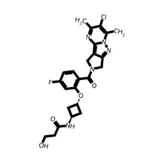 Cc1nc2c3c(nn2c(C)c1Cl)CN(C(=O)c1ccc(F)cc1O[C@H]1C[C@H](NC(=O)CCO)C1)C3